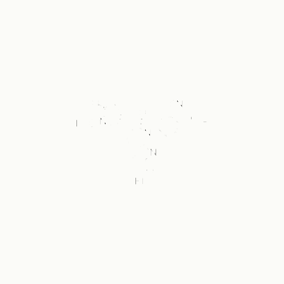 CCOc1nc2c(cc(-c3ccc(=O)n(C)c3)c(=O)n2-c2ccc(OC(F)F)c(C#N)c2)s1